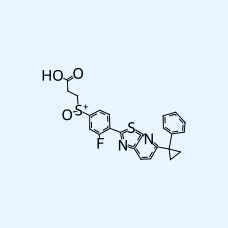 O=C(O)CC[S+]([O-])c1ccc(-c2nc3ccc(C4(c5ccccc5)CC4)nc3s2)c(F)c1